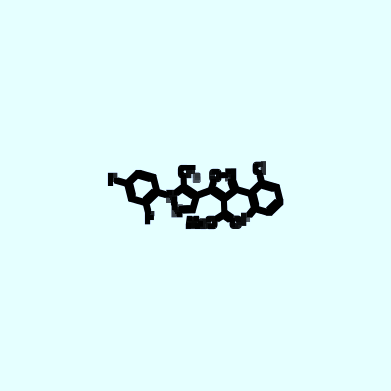 COC(=O)c1c(-c2c(F)cccc2Cl)noc1-c1cnn(-c2ccc(F)cc2F)c1C(F)(F)F